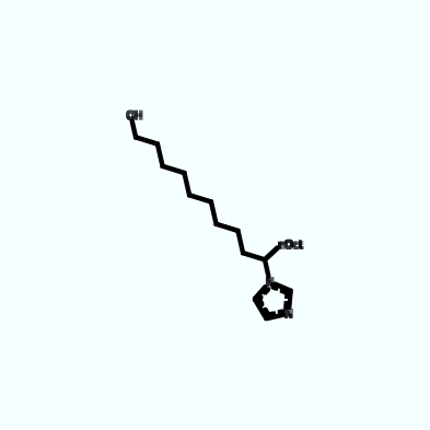 CCCCCCCCC(CCCCCCCCCO)n1ccnc1